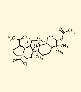 C=C(C)[C@@H]1CC[C@]2(C(=O)Cl)CC[C@]3(C)[C@H](CCC4[C@@]5(C)CC[C@H](OC(C)=O)C(C)(C)C5CC[C@]43C)C12